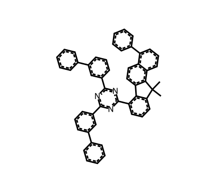 CC1(C)c2cccc(-c3nc(-c4cccc(-c5ccccc5)c4)nc(-c4cccc(-c5ccccc5)c4)n3)c2-c2ccc3c(-c4ccccc4)cccc3c21